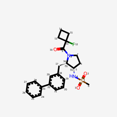 CS(=O)(=O)N[C@H]1CCN(C(=O)C2(F)CCC2)[C@H]1Cc1cccc(-c2ccccc2)c1